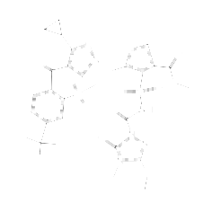 COC(=O)c1csc(C)c1S(=O)(=O)NC(=O)n1nc(OC)n(C)c1=O.CS(=O)(=O)c1cc(C(F)(F)F)ccc1C(=O)c1cnoc1C1CC1